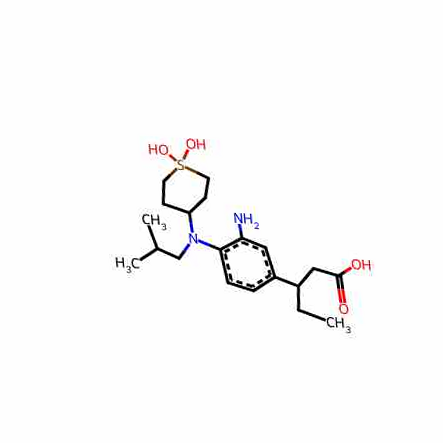 CCC(CC(=O)O)c1ccc(N(CC(C)C)C2CCS(O)(O)CC2)c(N)c1